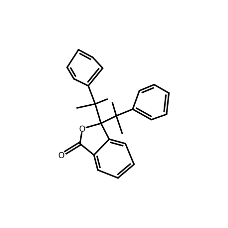 CC(C)(c1ccccc1)C1(C(C)(C)c2ccccc2)OC(=O)c2ccccc21